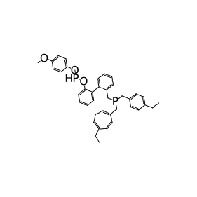 CCC1=CCC=C(CP(Cc2ccc(CC)cc2)Cc2ccccc2-c2ccccc2OPOc2ccc(OC)cc2)C=C1